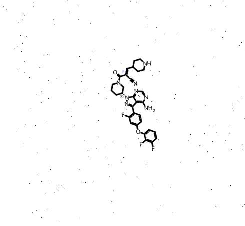 N#C/C(=C\C1CCNCC1)C(=O)N1CCC[C@@H](n2nc(-c3ccc(Oc4cccc(F)c4F)cc3F)c3c(N)ncnc32)C1